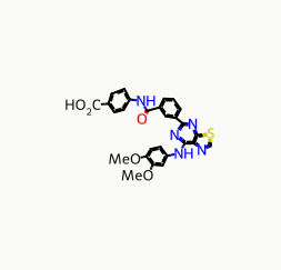 COc1ccc(Nc2nc(-c3cccc(C(=O)Nc4ccc(C(=O)O)cc4)c3)nc3scnc23)cc1OC